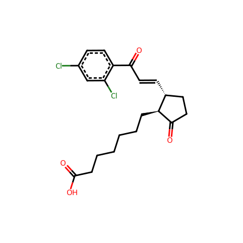 O=C(O)CCCCCC[C@@H]1C(=O)CC[C@H]1C=CC(=O)c1ccc(Cl)cc1Cl